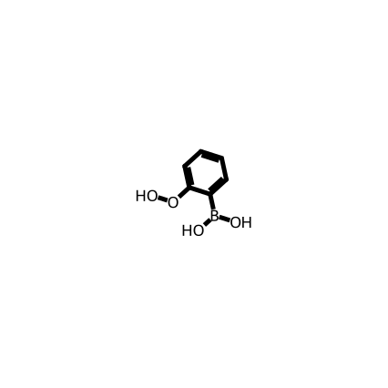 OOc1ccccc1B(O)O